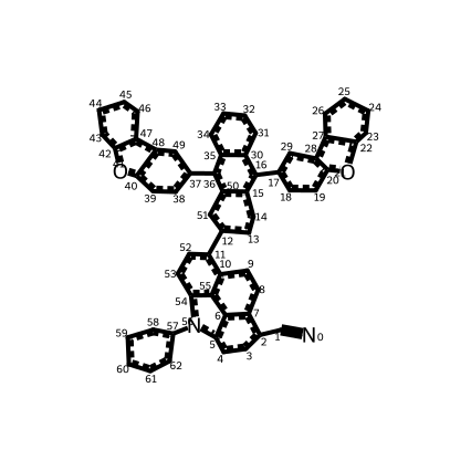 N#Cc1ccc2c3c1ccc1c(-c4ccc5c(-c6ccc7oc8ccccc8c7c6)c6ccccc6c(-c6ccc7oc8ccccc8c7c6)c5c4)ccc(c13)n2-c1ccccc1